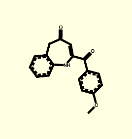 COc1ccc(C(=O)C2=CC(=O)Cc3ccccc3N2)cc1